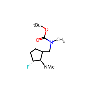 CN[C@@H]1C(CN(C)C(=O)OC(C)(C)C)CC[C@H]1F